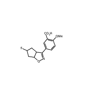 COc1ccc(C2=NOC3CC(F)CC23)cc1C(=O)O